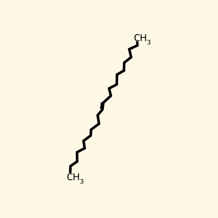 CCCCCCCCCCC=CCCCCCCCCCC